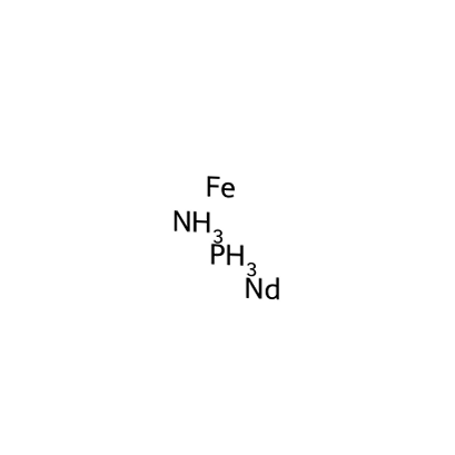 N.P.[Fe].[Nd]